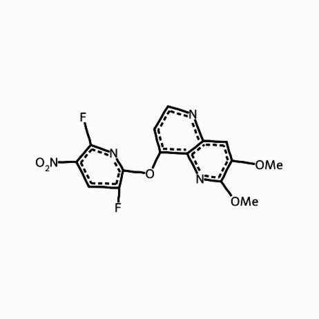 COc1cc2nccc(Oc3nc(F)c([N+](=O)[O-])cc3F)c2nc1OC